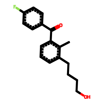 Cc1c(CCCCO)cccc1C(=O)c1ccc(F)cc1